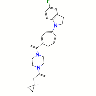 C=C(CC1(C)CC1)N1CCN(C(=C)C2=CC=C(N3CCc4cc(F)ccc43)C=CC2)CC1